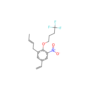 C=Cc1cc(CC=CC)c(OCCCC(F)(F)F)c([N+](=O)[O-])c1